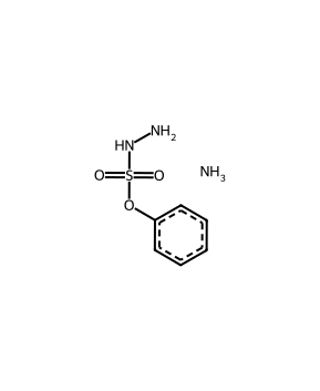 N.NNS(=O)(=O)Oc1ccccc1